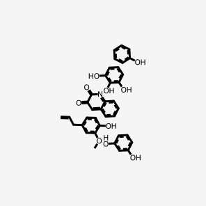 C=CCc1ccc(O)c(OC)c1.O=C1C=c2ccccc2=NC1=O.Oc1cccc(O)c1.Oc1cccc(O)c1O.Oc1ccccc1